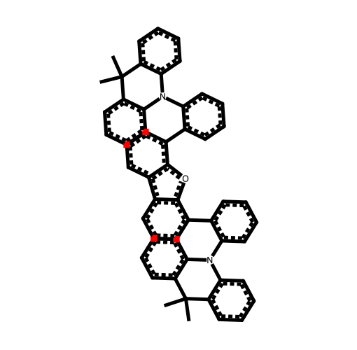 CC1(C)c2ccccc2N(c2ccccc2-c2cccc3c2oc2c(-c4ccccc4N4c5ccccc5C(C)(C)c5ccccc54)cccc23)c2ccccc21